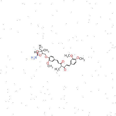 COc1ccc(/C=C/C(=O)C(C)C(=O)/C=C/c2ccc(OCC(OC(N)=O)C(C)(C)C)c(OC)c2)cc1OC